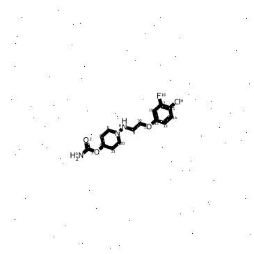 NC(=O)OC1CCN(NCCOc2ccc(Cl)c(F)c2)CC1